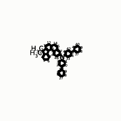 CC1(C)c2ccccc2-c2c1ccc1ccc3cc(N(c4ccc(-c5ccccc5)cc4)c4ccc(-c5ccccc5)cc4)ccc3c21